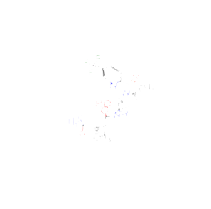 C[C@@H](CC(N)=O)CC(=O)N[C@H]1CC[C@@H](C)N([S+]([O-])c2ccc(C(F)(F)F)cn2)C[C@H]1O